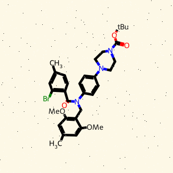 COc1cc(C)cc(OC)c1CN(C(=O)c1ccc(C)cc1Br)c1ccc(N2CCN(C(=O)OC(C)(C)C)CC2)cc1